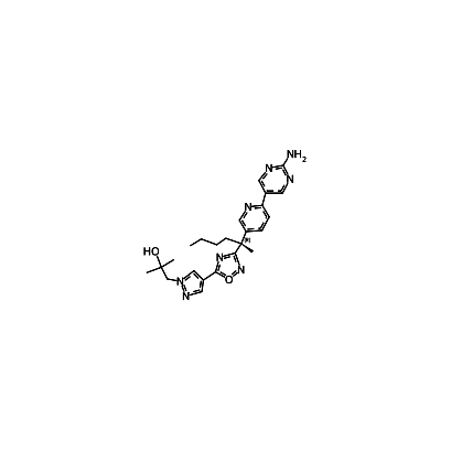 CCCC[C@](C)(c1ccc(-c2cnc(N)nc2)nc1)c1noc(-c2cnn(CC(C)(C)O)c2)n1